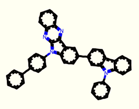 c1ccc(-c2ccc(-n3c4ccc(-c5ccc6c7ccccc7n(-c7ccccc7)c6c5)cc4c4nc5ccccc5nc43)cc2)cc1